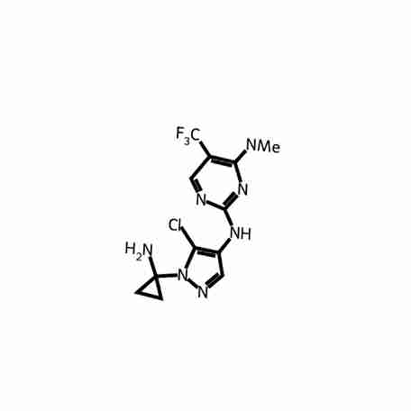 CNc1nc(Nc2cnn(C3(N)CC3)c2Cl)ncc1C(F)(F)F